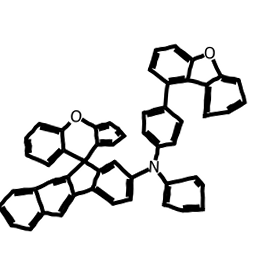 c1ccc(N(c2ccc(-c3cccc4oc5ccccc5c34)cc2)c2ccc3c(c2)C2(c4ccccc4Oc4ccccc42)c2cc4ccccc4cc2-3)cc1